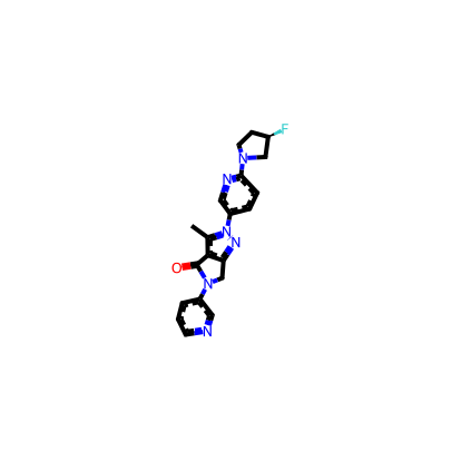 Cc1c2c(nn1-c1ccc(N3CC[C@@H](F)C3)nc1)CN(c1cccnc1)C2=O